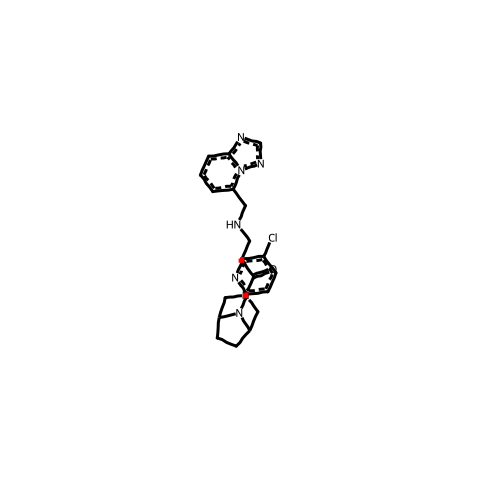 O=C(CCNCc1cccc2ncnn12)N1CC2CCC(C1)N2c1ccc(Cl)cn1